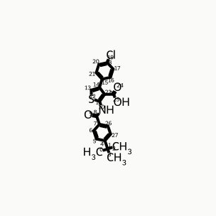 CC(C)(C)c1ccc(C(=O)Nc2scc(-c3ccc(Cl)cc3)c2C(=O)O)cc1